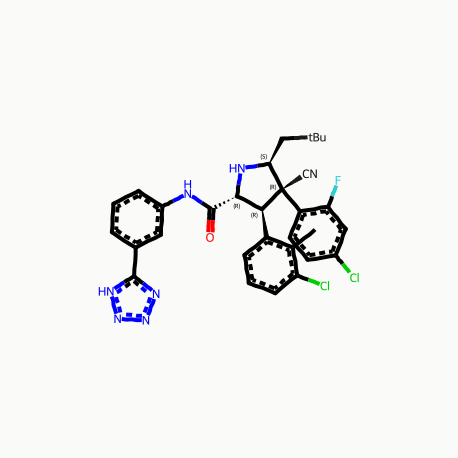 Cc1c(Cl)cccc1[C@H]1[C@H](C(=O)Nc2cccc(-c3nnn[nH]3)c2)N[C@@H](CC(C)(C)C)[C@]1(C#N)c1ccc(Cl)cc1F